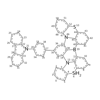 c1ccc2c(c1)[SiH2]c1cccc3c1N2c1cc(-c2ccc(-n4c5ccccc5c5ccccc54)cc2)cc2c1B3c1cccc3c1N2c1ccccc1S3